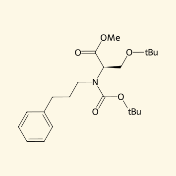 COC(=O)[C@@H](COC(C)(C)C)N(CCCc1ccccc1)C(=O)OC(C)(C)C